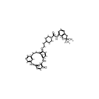 CC1(C)Cc2cccc(NC(=O)N3CCC(CCOc4ccc5cc4CCc4cncc(c4)Nc4ncc(Cl)c(n4)N5)CC3)c2O1